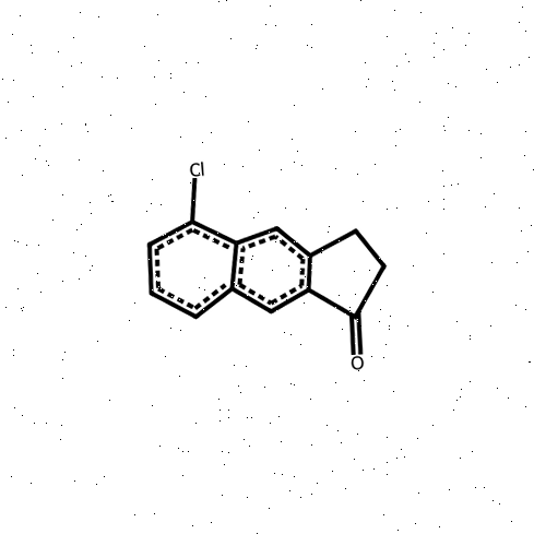 O=C1CCc2cc3c(Cl)cccc3cc21